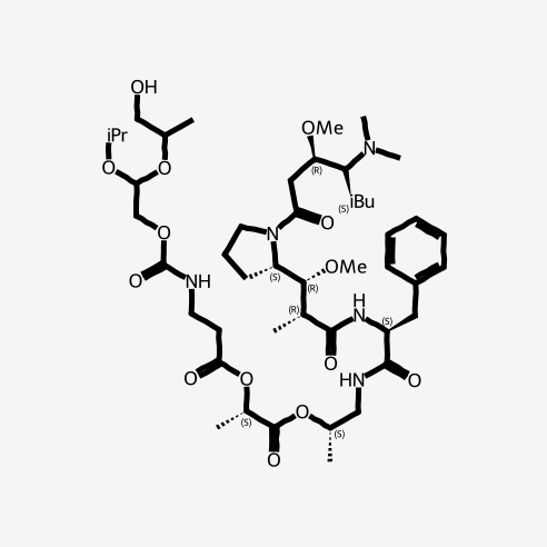 CC[C@H](C)C([C@@H](CC(=O)N1CCC[C@H]1[C@H](OC)[C@@H](C)C(=O)N[C@@H](Cc1ccccc1)C(=O)NC[C@H](C)OC(=O)[C@H](C)OC(=O)CCNC(=O)OCC(OC(C)C)OC(C)CO)OC)N(C)C